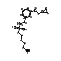 O=S(=O)(CCCCCO)NCc1cccc(OCC2CC2)c1